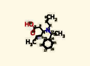 C=CCN(C(/C=C/C)CC(=O)O)C(C)c1ccccc1